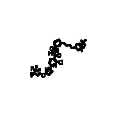 CC(C)(C)N1CC(CCCCc2cccc(S(=O)(=O)NC(=O)c3ccc(-n4ccc(OCCC5(C(F)(F)F)CC5)n4)nc3Cl)c2)CC1(C)C